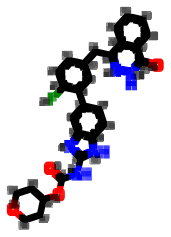 O=C(Nc1nc2cc(-c3cc(Cc4n[nH]c(=O)c5ccccc45)ccc3F)ccc2[nH]1)OC1CCOCC1